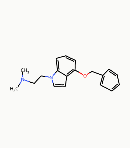 CN(C)CCn1ccc2c(OCc3ccccc3)cccc21